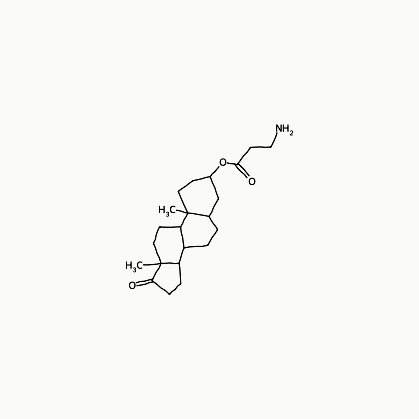 CC12CCC3C(CCC4CC(OC(=O)CCN)CCC43C)C1CCC2=O